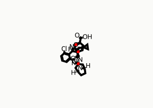 O=C(O)c1ccc(-c2nc(N3[C@@H]4CC[C@H]3C[C@@H](OCc3c(-c5c(Cl)cccc5Cl)noc3C3CC3)C4)no2)c(F)c1